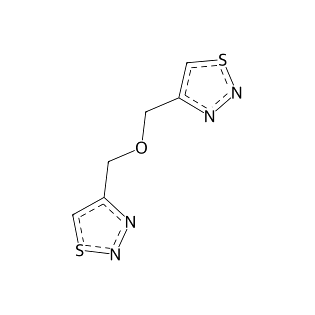 c1snnc1COCc1csnn1